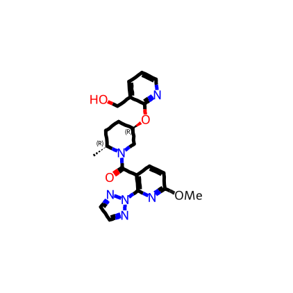 COc1ccc(C(=O)N2C[C@H](Oc3ncccc3CO)CC[C@H]2C)c(-n2nccn2)n1